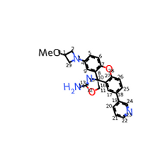 COC1CN(c2ccc3c(c2)[C@]2(COC(N)=N2)c2cc(-c4cccnc4)ccc2O3)C1